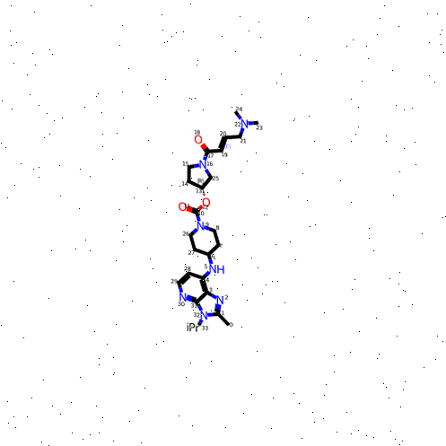 Cc1nc2c(NC3CCN(C(=O)O[C@@H]4CCN(C(=O)/C=C/CN(C)C)C4)CC3)ccnc2n1C(C)C